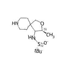 C[C@@H]1OCC2(CCNCC2)C1N[S@+]([O-])C(C)(C)C